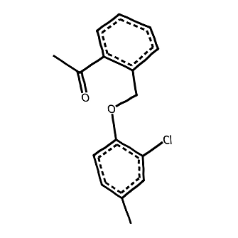 CC(=O)c1ccccc1COc1ccc(C)cc1Cl